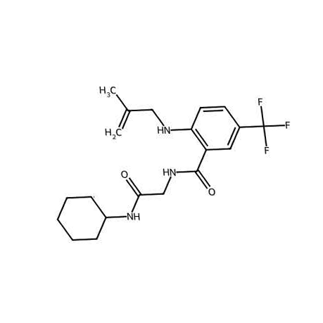 C=C(C)CNc1ccc(C(F)(F)F)cc1C(=O)NCC(=O)NC1[CH]CCCC1